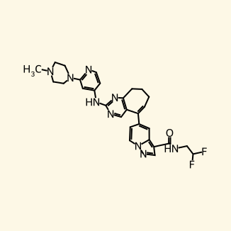 CN1CCN(c2cc(Nc3ncc4c(n3)CCCC=C4c3ccn4ncc(C(=O)NCC(F)F)c4c3)ccn2)CC1